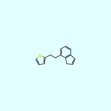 C1=Cc2cccc(CCc3cccs3)c2C1